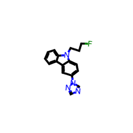 FCCCn1c2ccccc2c2cc(-n3cncn3)ccc21